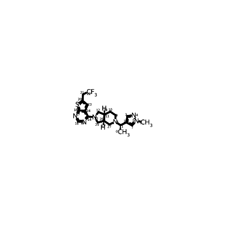 C[C@H](c1cnn(C)c1)N1CC[C@H]2CN(c3ncnc4sc(CC(F)(F)F)cc34)C[C@H]2C1